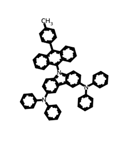 Cc1ccc(-c2c3ccccc3c(-n3c4ccc(N(c5ccccc5)c5ccccc5)cc4c4cc(N(c5ccccc5)c5ccccc5)ccc43)c3ccccc23)cc1